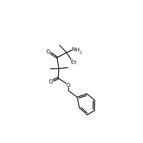 CCC(C)(N)C(=O)C(C)(C)C(=O)OCc1ccccc1